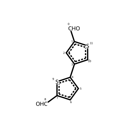 O=Cc1cc(-c2ccc(C=O)s2)[c]s1